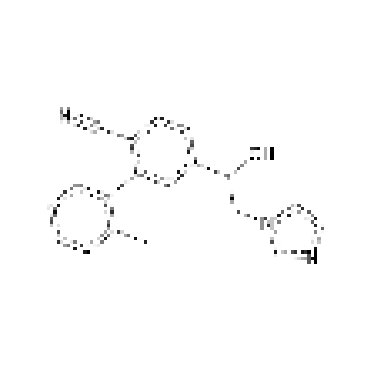 Cc1ccccc1-c1cc(C(O)Cn2ccnc2)ccc1C#N